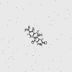 CC(NC1=NC(=O)c2cnc(Cl)cc21)c1cccc(C(F)F)c1F